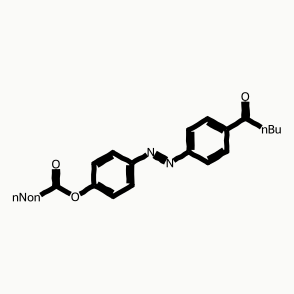 CCCCCCCCCC(=O)Oc1ccc(N=Nc2ccc(C(=O)CCCC)cc2)cc1